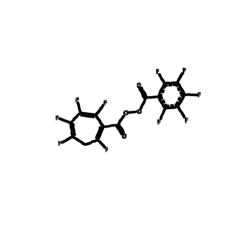 O=C(OOC(=O)c1c(F)c(F)c(F)c(F)c1F)C1=C(F)CC(F)=C(F)C(F)=C1F